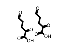 O=CCCC(=O)C(=O)O.O=CCCC(=O)C(=O)O